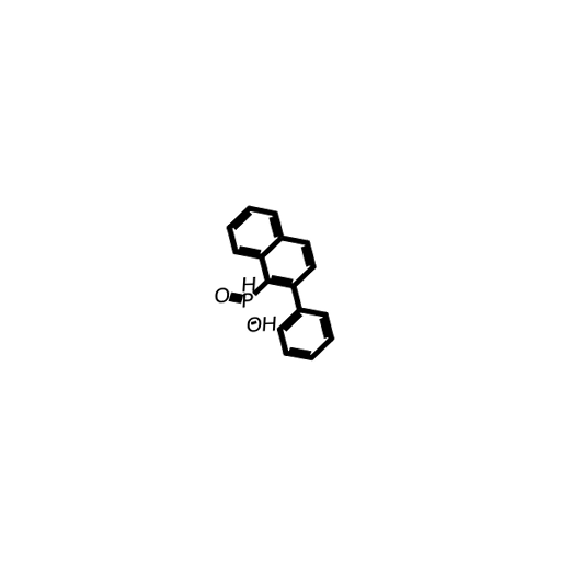 O=[PH](O)c1c(-c2ccccc2)ccc2ccccc12